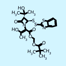 CC(O)=C(C(=O)OCOC(=O)C(C)(C)C)N1C(=O)[C@H](C(C)(C)O)[C@H]1SSc1nc2ccccc2s1